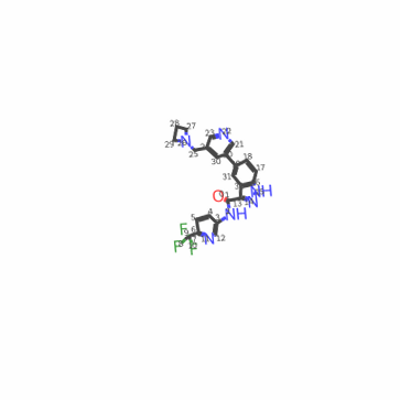 O=C(Nc1ccc(C(F)(F)F)nc1)c1n[nH]c2ccc(-c3cncc(CN4CCC4)c3)cc12